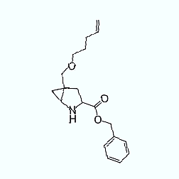 C=CCCCOCC12CC(C(=O)OCc3ccccc3)NC1C2